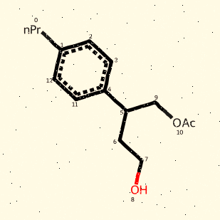 CCCc1ccc(C(CCO)COC(C)=O)cc1